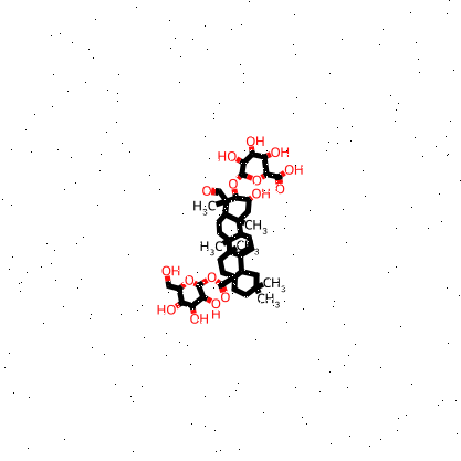 CC1(C)CCC2(C(=O)OC3OC(CO)C(O)C(O)C3O)CCC3(C)C(=CCC4C5(C)CC(O)C(OC6OC(C(=O)O)C(O)C(O)C6O)C(C)(C=O)C5CCC43C)C2C1